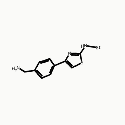 CCNc1nc(-c2ccc(CN)cc2)cs1